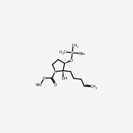 C=CCCC[C@@]1(O)[C@H](O[Si](C)(C)C(C)(C)C)CCN1C(=O)OC(C)(C)C